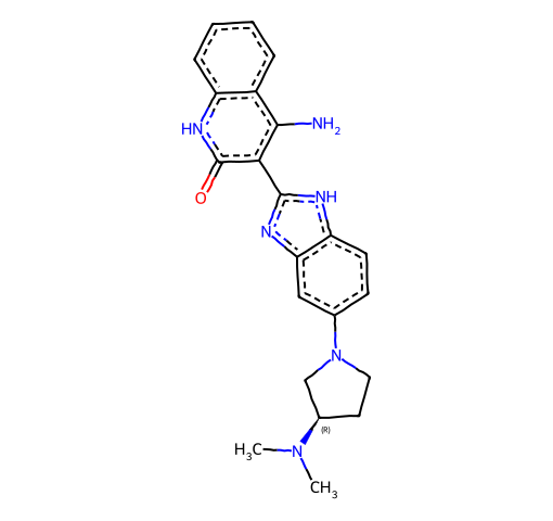 CN(C)[C@@H]1CCN(c2ccc3[nH]c(-c4c(N)c5ccccc5[nH]c4=O)nc3c2)C1